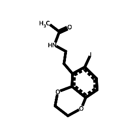 CC(=O)NCCc1c(I)ccc2c1OCCO2